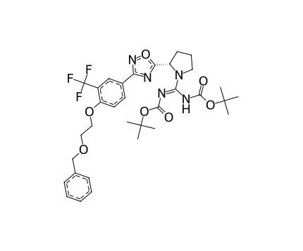 CC(C)(C)OC(=O)/N=C(\NC(=O)OC(C)(C)C)N1CCC[C@H]1c1nc(-c2ccc(OCCOCc3ccccc3)c(C(F)(F)F)c2)no1